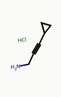 Cl.NCC#CC1CC1